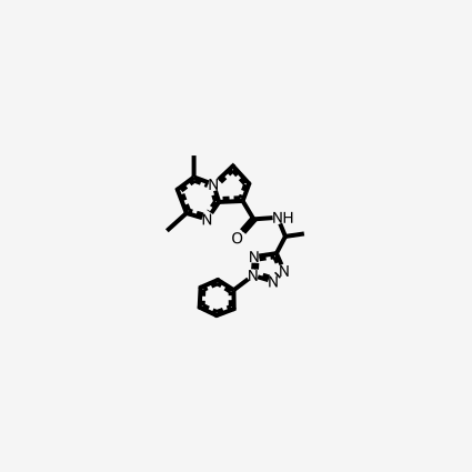 Cc1cc(C)n2ccc(C(=O)NC(C)c3nnn(-c4ccccc4)n3)c2n1